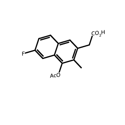 CC(=O)Oc1c(C)c(CC(=O)O)cc2ccc(F)cc12